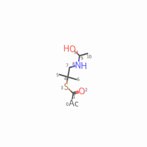 CC(=O)C(=O)SC(C)(C)CNC(C)O